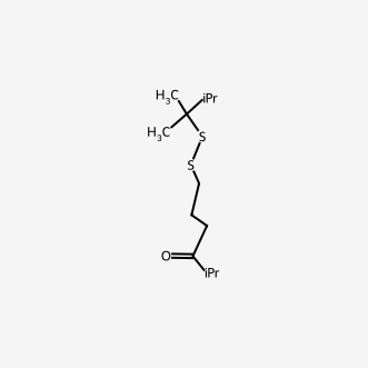 CC(C)C(=O)CCCSSC(C)(C)C(C)C